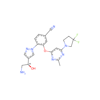 Cc1nc(Oc2cc(C#N)ccc2-n2cc([C@@H](O)CN)cn2)cc(N2CCC(F)(F)C2)n1